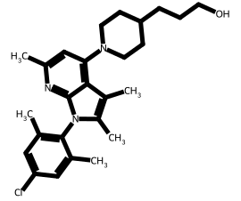 Cc1cc(N2CCC(CCCO)CC2)c2c(C)c(C)n(-c3c(C)cc(Cl)cc3C)c2n1